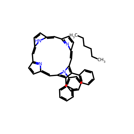 C1=Cc2cc3c(-c4ccccc4)c(-c4ccccc4)c(cc4nc(cc5ccc(cc1n2)[nH]5)C=C4)n3-c1ccccc1.CCCCCC